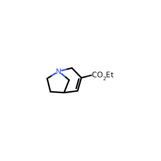 CCOC(=O)C1=CC2CCN(C1)C2